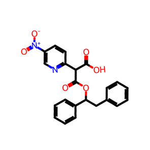 O=C(O)C(C(=O)OC(Cc1ccccc1)c1ccccc1)c1ccc([N+](=O)[O-])cn1